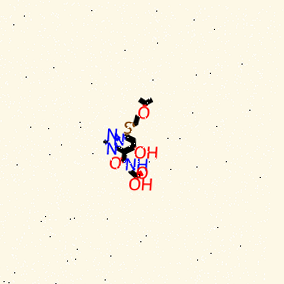 CC(C)OCCSc1cc(O)c(C(=O)NCC(=O)O)c2ncnn12